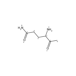 CC(=O)C(N)CCC(N)=O